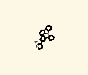 N#Cc1ncccc1-c1cccc(-c2ccccc2N2c3ccccc3C3C=CC=CC32)c1